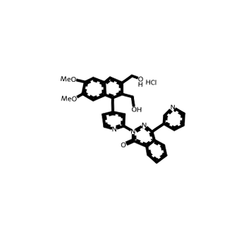 COc1cc2cc(CO)c(CO)c(-c3ccnc(-n4nc(-c5cccnc5)c5ccccc5c4=O)c3)c2cc1OC.Cl